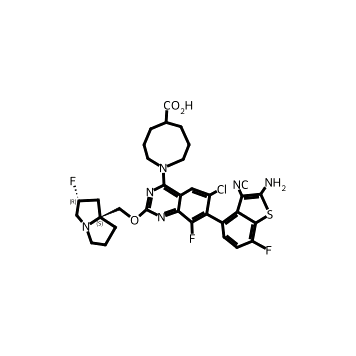 N#Cc1c(N)sc2c(F)ccc(-c3c(Cl)cc4c(N5CCCC(C(=O)O)CCC5)nc(OC[C@@]56CCCN5C[C@H](F)C6)nc4c3F)c12